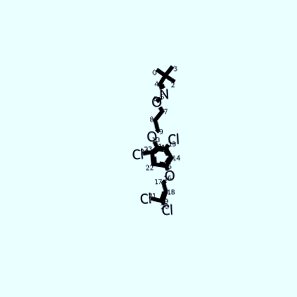 CC(C)(C)C=NOCCCOc1c(Cl)cc(OCC=C(Cl)Cl)cc1Cl